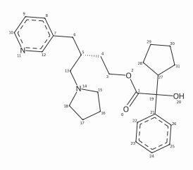 O=C(OCC[C@@H](Cc1cccnc1)CN1CCCC1)C(O)(c1ccccc1)C1CCCC1